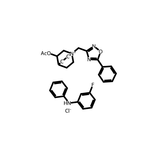 CC(=O)OC1C[N+]2(Cc3noc(-c4ccccc4)n3)CCC1CC2.Fc1cccc(Nc2ccccc2)c1.[Cl-]